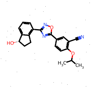 CC(C)Oc1ccc(-c2nc(-c3cccc4c3CC[C@@H]4O)no2)cc1C#N